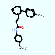 Cc1ccc(-c2ccccc2/C=C/C(=O)Nc2ccc(C(=O)O)cc2)cc1